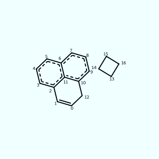 C1=Cc2cccc3cccc(c23)C1.C1CCC1